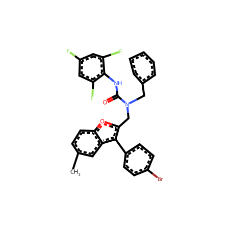 Cc1ccc2oc(CN(Cc3ccccc3)C(=O)Nc3c(F)cc(F)cc3F)c(-c3ccc(Br)cc3)c2c1